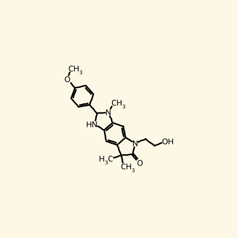 COc1ccc(C2Nc3cc4c(cc3N2C)N(CCO)C(=O)C4(C)C)cc1